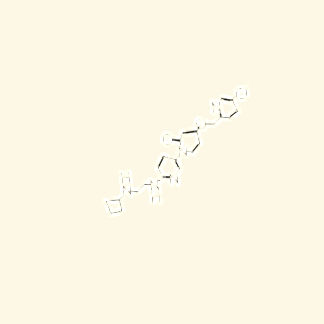 O=c1cc(OCc2ccc(Cl)cn2)ccn1-c1ccc(NCCNC2CCC2)nc1